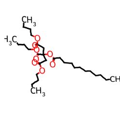 CCCCCCCCCCCC(=O)OC(CC(=O)OCCCC)(CC(=O)OCCCC)C(=O)OCCCC